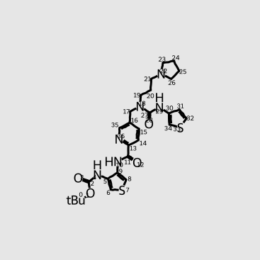 CC(C)(C)OC(=O)Nc1cscc1NC(=O)c1ccc(CN(CCCN2CCCC2)C(=O)Nc2ccsc2)cn1